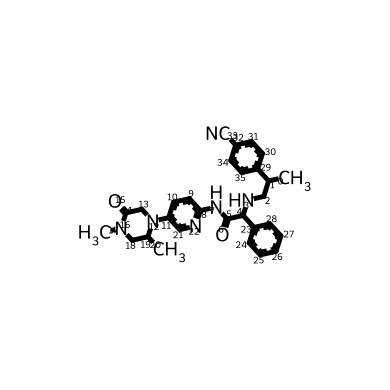 CC(CNC(C(=O)Nc1ccc(N2CC(=O)N(C)CC2C)cn1)c1ccccc1)c1ccc(C#N)cc1